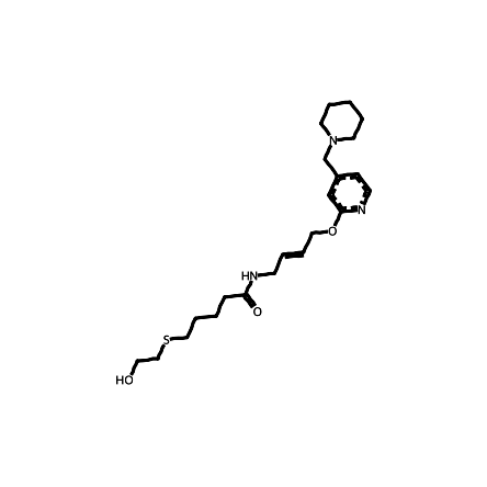 O=C(CCCCSCCO)NCC=CCOc1cc(CN2CCCCC2)ccn1